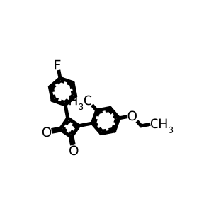 CCOc1ccc(-c2c(-c3ccc(F)cc3)c(=O)c2=O)c(C)c1